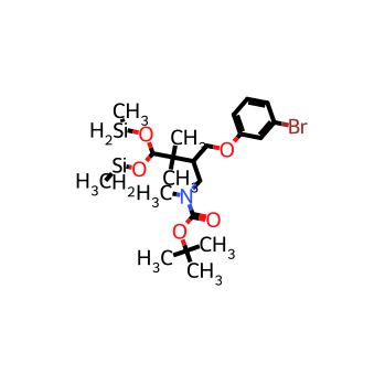 C[SiH2]OC(O[SiH2]C)C(C)(C)C(COc1cccc(Br)c1)CN(C)C(=O)OC(C)(C)C